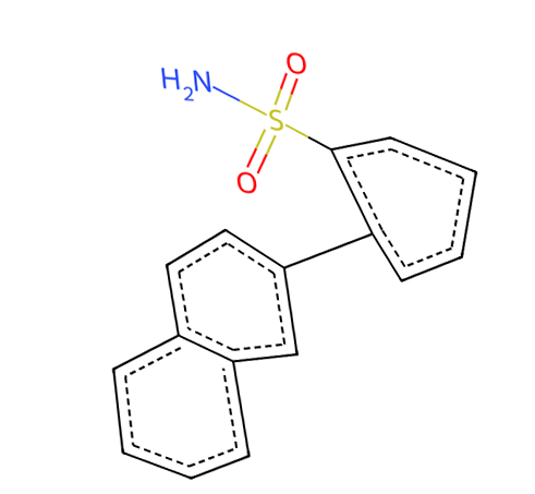 NS(=O)(=O)c1ccccc1-c1ccc2ccccc2c1